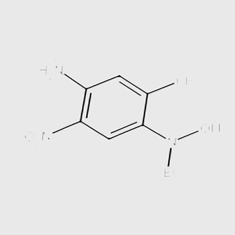 CCN(O)c1cc([N+](=O)[O-])c(N)cc1C